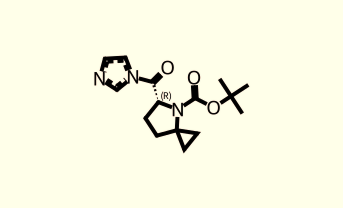 CC(C)(C)OC(=O)N1[C@@H](C(=O)n2ccnc2)CCC12CC2